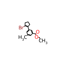 CCOC(=O)c1cc(C)cc(C2=C(Br)CCC2)c1